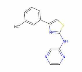 N#Cc1cccc(-c2csc(Nc3cnccn3)n2)c1